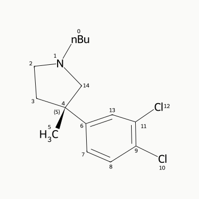 CCCCN1CC[C@@](C)(c2ccc(Cl)c(Cl)c2)C1